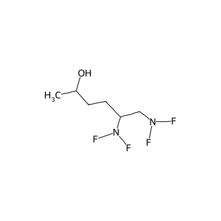 CC(O)CCC(CN(F)F)N(F)F